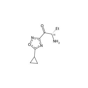 CC[C@H](N)C(=O)c1noc(C2CC2)n1